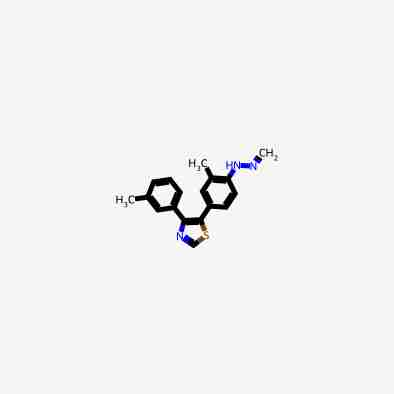 C=NNc1ccc(-c2scnc2-c2cccc(C)c2)cc1C